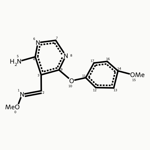 CON=Cc1c(N)ncnc1Oc1ccc(OC)cc1